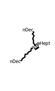 CCCCCCCCCCCCCCCCCC[n+]1ccn(CCCCCCC)c1CCCCCCCCCCCCCCCC